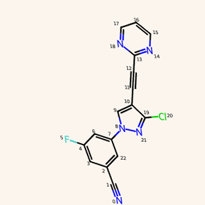 N#Cc1cc(F)cc(-n2cc(C#Cc3ncccn3)c(Cl)n2)c1